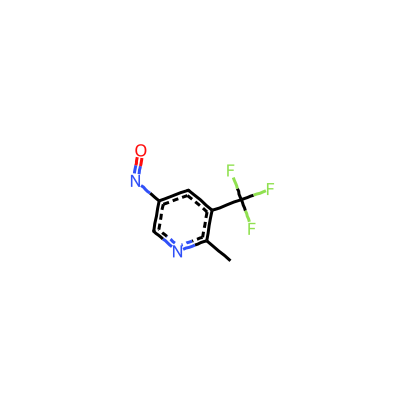 Cc1ncc(N=O)cc1C(F)(F)F